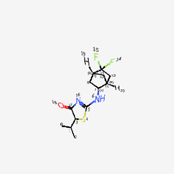 CC(C)C1SC(N[C@H]2C[C@H]3C[C@@H]2CC3(F)F)=NC1=O